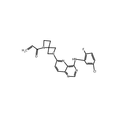 C=CC(=O)N1CCC12CN(c1ccc3ncnc(Nc4cc(Cl)ccc4F)c3n1)C2